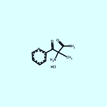 CC(N)(C(N)=O)C(=O)c1ccccn1.Cl